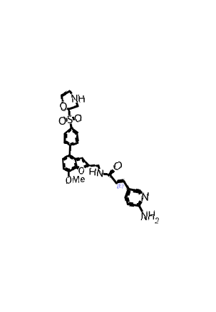 COc1ccc(-c2ccc(S(=O)(=O)C3CNCCO3)cc2)c2cc(CNC(=O)/C=C/c3ccc(N)nc3)oc12